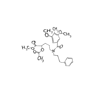 COC(=O)C(CCCN(CCCc1ccccc1)C(=O)c1cc(OC)c(C)c(OC)c1)OC(C)=O